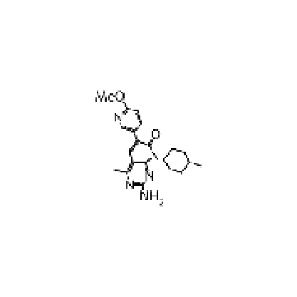 COc1ccc(-c2cc3c(C)nc(N)nc3n([C@H]3CC[C@H](C)CC3)c2=O)cn1